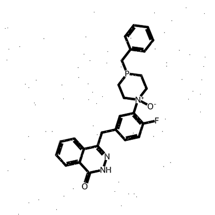 O=c1[nH]nc(Cc2ccc(F)c([N+]3([O-])CCP(Cc4ccccc4)CC3)c2)c2ccccc12